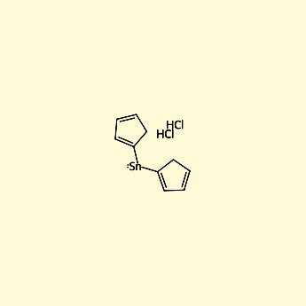 C1=CC[C]([Sn][C]2=CC=CC2)=C1.Cl.Cl